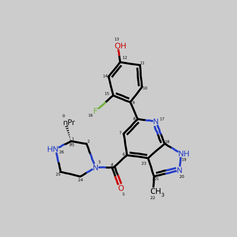 CCC[C@@H]1CN(C(=O)c2cc(-c3ccc(O)cc3F)nc3[nH]nc(C)c23)CCN1